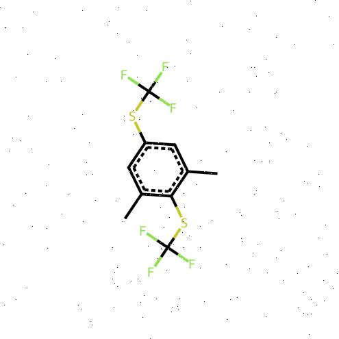 Cc1cc(SC(F)(F)F)cc(C)c1SC(F)(F)F